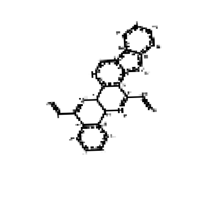 C=CC1=NC2c3ncc4c(oc5ccccc54)c3C(C=C)=NC2c2ccccc21